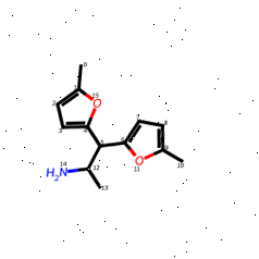 Cc1ccc(C(c2ccc(C)o2)C(C)N)o1